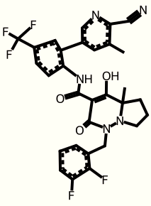 Cc1cc(-c2cc(C(F)(F)F)ccc2NC(=O)C2=C(O)C3(C)CCCN3N(Cc3cccc(F)c3F)C2=O)cnc1C#N